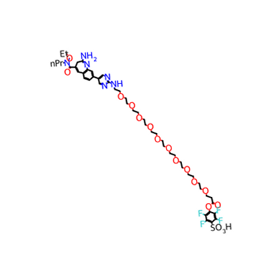 CCCN(OCC)C(=O)C1=Cc2ccc(-c3cnc(NCCOCCOCCOCCOCCOCCOCCOCCOCCOCCOCCC(=O)Oc4c(F)c(F)c(S(=O)(=O)O)c(F)c4F)nc3)cc2N=C(N)C1